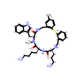 Cc1ccc2c(c1)CNC(=O)[C@H](Cc1c[nH]c3ccccc13)N(C)C(=O)[C@H](CCCCN)NC(=O)[C@H](CCCN)NCc1ccccc1S2